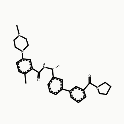 Cc1ccc(N2CCN(C)CC2)cc1C(=O)N[C@H](C)c1cccc(-c2cccc(C(=O)N3CCCC3)c2)c1